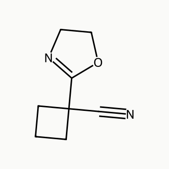 N#CC1(C2=NCCO2)CCC1